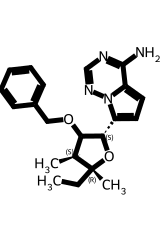 CC[C@@]1(C)O[C@@H](c2ccc3c(N)ncnn23)C(OCc2ccccc2)[C@@H]1C